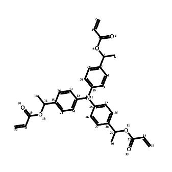 C=CC(=O)OC(C)c1ccc(N(c2ccc(C(C)OC(=O)C=C)cc2)c2ccc(C(C)OC(=O)C=C)cc2)cc1